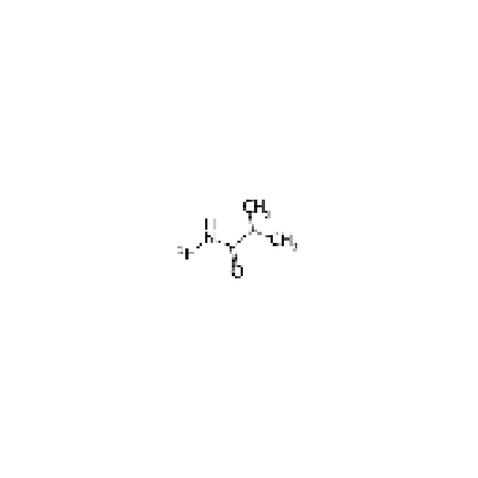 [2H]NC(=O)C(C)C